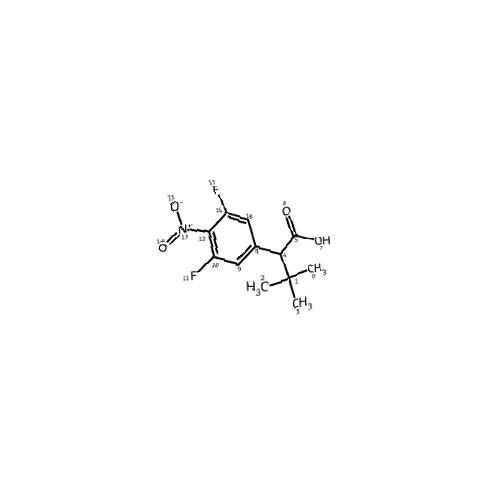 CC(C)(C)C(C(=O)O)c1cc(F)c([N+](=O)[O-])c(F)c1